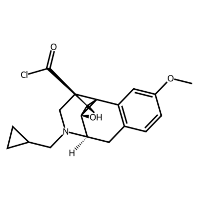 COc1ccc2c(c1)C13CCN(CC4CC4)[C@H](C2)[C@]1(O)C[C@H](C(=O)Cl)C3